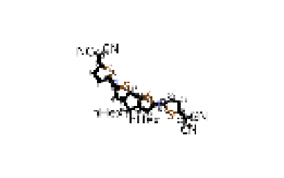 CCCCCCC1(CCCCCC)c2c/c(=c3\ccc(=C(C#N)C#N)s3)sc2=c2s/c(=C3\CCC(=C(C#N)C#N)S3)cc21